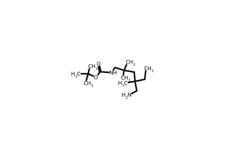 CCC(C)(CN)CC(C)(C)CNC(=O)OC(C)(C)C